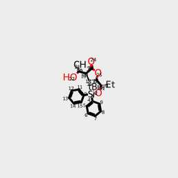 CC[C@H](O[Si](c1ccccc1)(c1ccccc1)C(C)(C)C)[C@@H]1C[C@@H]([C@@H](C)O)C(=O)O1